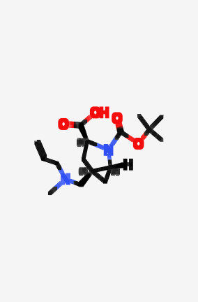 C=CCN(C)C[C@@]12C[C@@H](C(=O)O)N(C(=O)OC(C)(C)C)[C@@H]1C2